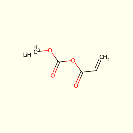 C=CC(=O)OC(=O)OC.[LiH]